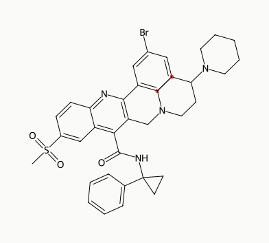 CS(=O)(=O)c1ccc2nc(-c3cccc(Br)c3)c(CN3CCC(N4CCCCC4)CC3)c(C(=O)NC3(c4ccccc4)CC3)c2c1